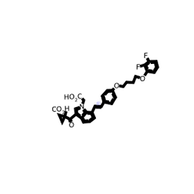 O=C(O)Cn1cc(C(=O)C2(C(=O)O)CC2)c2cccc(/C=C/c3ccc(OCCCCOc4cccc(F)c4F)cc3)c21